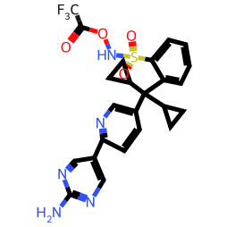 Nc1ncc(-c2ccc(C(c3ccccc3S(=O)(=O)NOC(=O)C(F)(F)F)(C3CC3)C3CC3)cn2)cn1